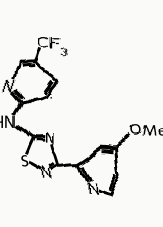 COc1ccnc(-c2nsc(Nc3[c]cc(C(F)(F)F)cn3)n2)c1